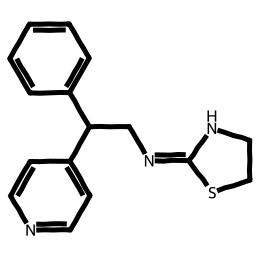 c1ccc(C(CN=C2NCCS2)c2ccncc2)cc1